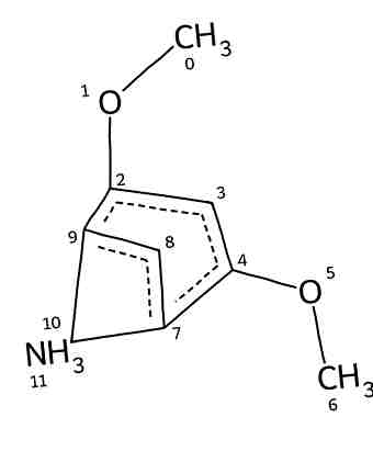 COc1cc(OC)c2cc1C2.N